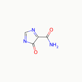 NC(=O)C1=NC=NC1=O